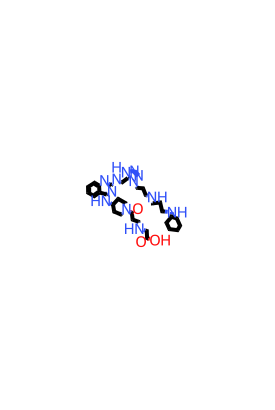 O=C(O)CNCCC(=O)N1CCC(Nc2nc(NCc3nnnn3CCCNCCCNC3CCCCC3)nc3ccccc23)CC1